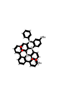 CC(C)(C)c1ccc2c(c1)N(c1ccccc1)c1cccc3c1B2c1ccc(C(C)(C)C)cc1N3c1c(-c2ccccc2)cccc1-c1ccccc1